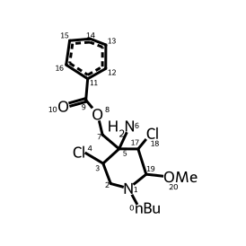 CCCCN1CC(Cl)C(N)(COC(=O)c2ccccc2)C(Cl)C1OC